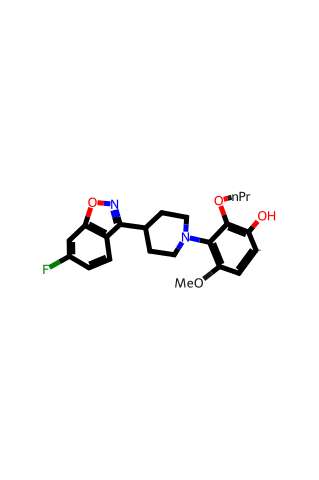 CCCOc1c(O)[c]cc(OC)c1N1CCC(c2noc3cc(F)ccc23)CC1